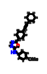 COc1ccc(Nc2nnc(-c3ccc(C#CC4=CCCCC4)cc3)o2)cc1